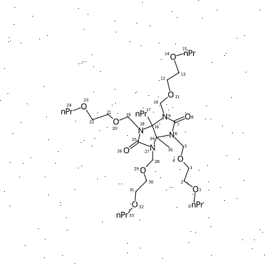 CCCOCCOCN1C(=O)N(COCCOCCC)C2(CCC)N(COCCOCCC)C(=O)N(COCCOCCC)C12C